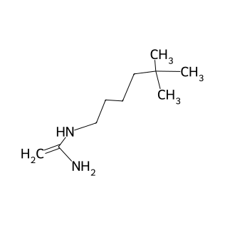 C=C(N)NCCCCC(C)(C)C